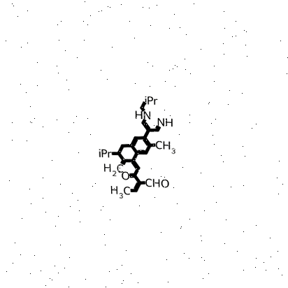 C=C1/C(=C\C(=O)/C(C=O)=C\C)c2cc(C)c(/C(C=N)=C/NCC(C)C)cc2CC1C(C)C